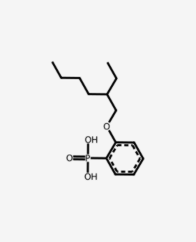 CCCCC(CC)COc1ccccc1P(=O)(O)O